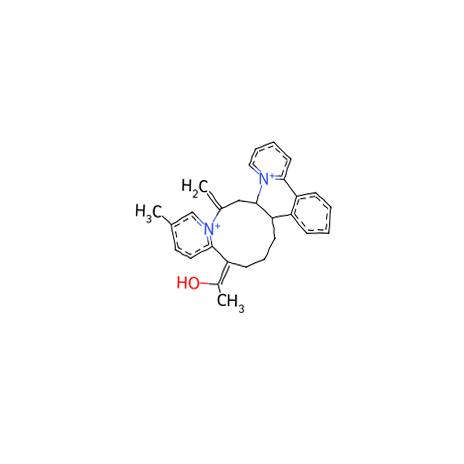 C=C1CC2C(CCC/C(=C(\C)O)c3ccc(C)c[n+]31)c1ccccc1-c1cccc[n+]12